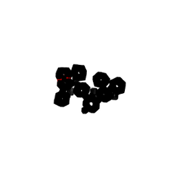 CC1CC=c2c(oc3c(-c4ccccc4)c4c(cc23)oc2ccccc24)=C(C2C=CC(N(c3ccccc3-c3ccccc3)c3cccc4c3oc3ccccc34)=CC2)C1